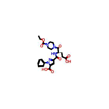 CCOC(=O)N1CCN(C(=O)[C@H](CCC(=O)O)NC(=O)c2cc(C(=O)O)n(-c3ccccc3)n2)CC1